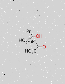 CC(C)C(=O)C(=O)O.CC(C)C(O)C(=O)O